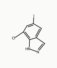 Clc1cc(I)cc2cn[nH]c12